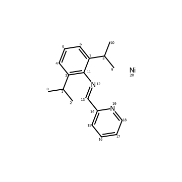 CC(C)c1cccc(C(C)C)c1N=Cc1ccccn1.[Ni]